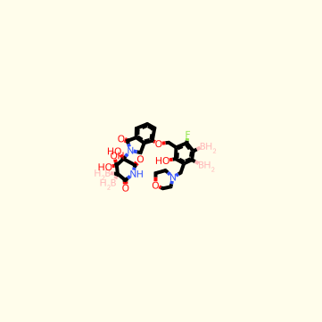 Bc1c(B)c(CN2CCOCC2)c(O)c(COc2cccc3c2CN(C2(O)C(=O)NC(=O)C(B)(B)C2(O)O)C3=O)c1F